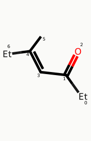 CCC(=O)/C=C(\C)CC